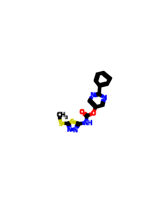 CSc1nnc(NC(=O)Oc2cnc(-c3ccccc3)nc2)s1